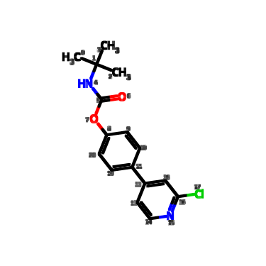 CC(C)(C)NC(=O)Oc1ccc(-c2ccnc(Cl)c2)cc1